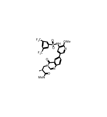 CNC(=O)[C@@H](C)Cn1cnc2ccc(-c3cnc(OC)c(NS(=O)(=O)c4cc(C(F)(F)F)cc(C(F)(F)F)c4)c3)cc2c1=O